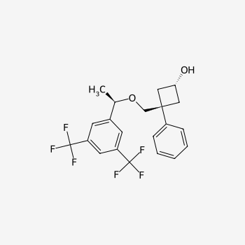 C[C@@H](OC[C@]1(c2ccccc2)C[C@@H](O)C1)c1cc(C(F)(F)F)cc(C(F)(F)F)c1